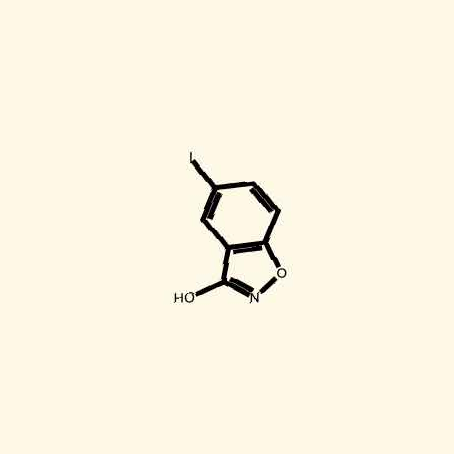 Oc1noc2ccc(I)cc12